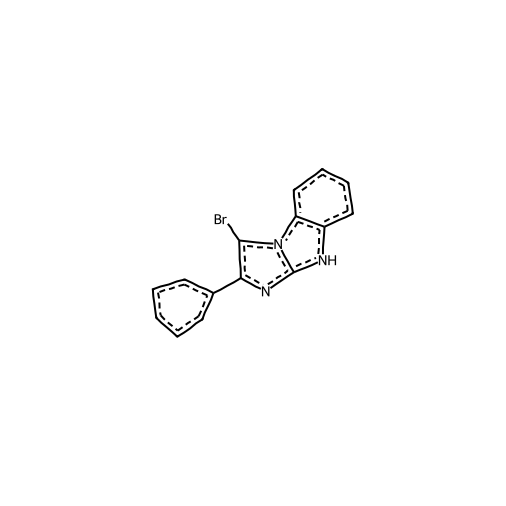 Brc1c(-c2ccccc2)nc2[nH]c3ccccc3n12